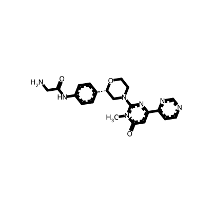 Cn1c(N2CCO[C@@H](c3ccc(NC(=O)CN)cc3)C2)nc(-c2ccncn2)cc1=O